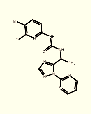 CC(NC(=O)Nc1ccc(Br)c(Cl)n1)c1ncnn1-c1ncccn1